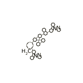 C=C1/C=C\C=C/C/C(c2ccc3c(c2)C2(c4ccccc4-c4ccccc42)c2cc(-c4ccc(-c5ccc6c(c5)c5ccccc5n6-c5ccccn5)c5ccccc45)ccc2-3)=C\C=C/1c1ccc2c(c1)c1ccccc1n2-c1ccccn1